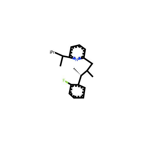 CC(C)C(C)c1cccc(CC(C)[C@@H](C)c2ccccc2F)n1